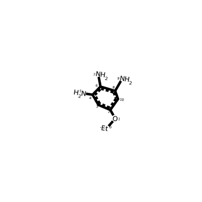 C[CH]Oc1cc(N)c(N)c(N)c1